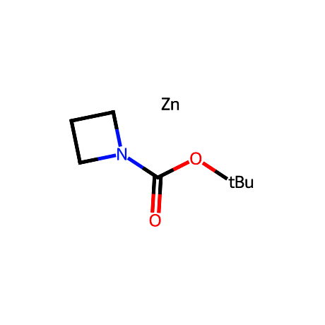 CC(C)(C)OC(=O)N1CCC1.[Zn]